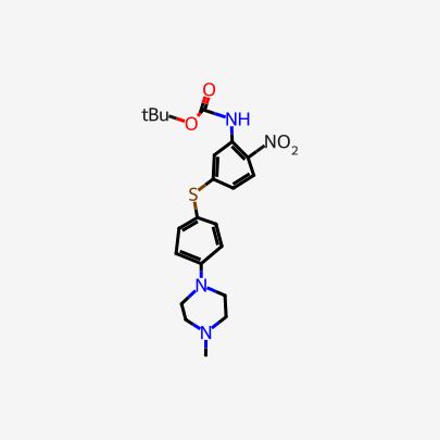 CN1CCN(c2ccc(Sc3ccc([N+](=O)[O-])c(NC(=O)OC(C)(C)C)c3)cc2)CC1